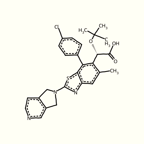 Cc1cc2nc(N3Cc4ccncc4C3)sc2c(-c2ccc(Cl)cc2)c1[C@H](OC(C)(C)C)C(=O)O